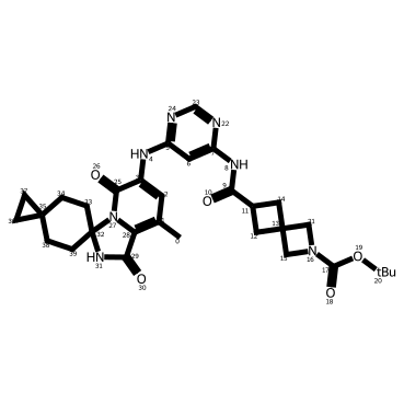 Cc1cc(Nc2cc(NC(=O)C3CC4(C3)CN(C(=O)OC(C)(C)C)C4)ncn2)c(=O)n2c1C(=O)NC21CCC2(CC2)CC1